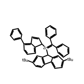 CC(C)(C)c1ccc2c(c1)[CH]([Zr](=[C](c1ccccc1)c1ccccc1)[CH]1C=Cc3c(-c4ccccc4)cccc31)c1cc(C(C)(C)C)ccc1-2